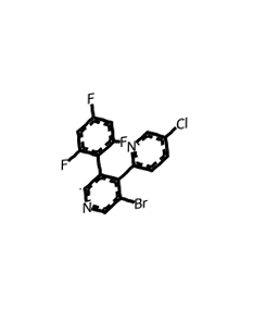 Fc1cc(F)c(-c2[c]ncc(Br)c2-c2ccc(Cl)cn2)c(F)c1